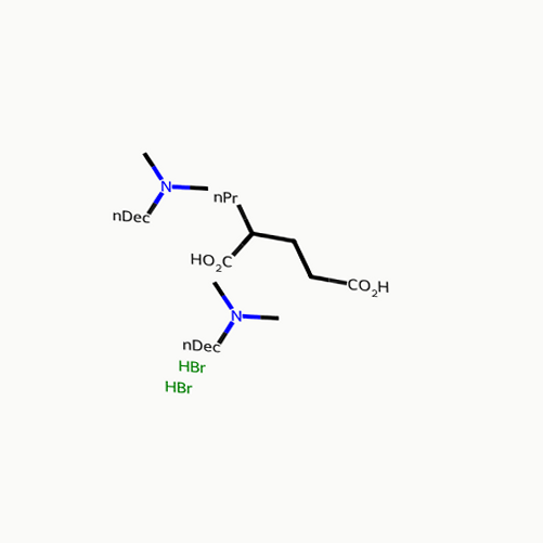 Br.Br.CCCC(CCC(=O)O)C(=O)O.CCCCCCCCCCN(C)C.CCCCCCCCCCN(C)C